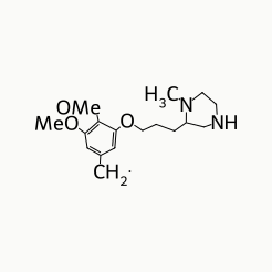 [CH2]c1cc(OC)c(OC)c(OCCCC2CNCCN2C)c1